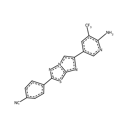 N#Cc1ccc(-c2nn3cc(-c4cnc(N)c(C(F)(F)F)c4)nc3s2)cc1